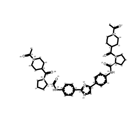 CC(=O)N1CCC(C(=O)N2CCC[C@H]2C(=O)Nc2ccc(-c3cnc(-c4ccc(NC(=O)[C@@H]5CCCN5C(=O)C5CCN(C(C)=O)CC5)cc4)o3)cc2)CC1